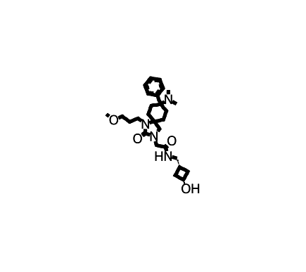 COCCCN1C(=O)N(CC(=O)NC[C@H]2C[C@@H](O)C2)CC12CCC(c1ccccc1)(N(C)C)CC2